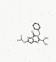 CC(C)C(O)c1nc2cc(OC(F)F)nn2c(=O)n1Cc1ccccc1